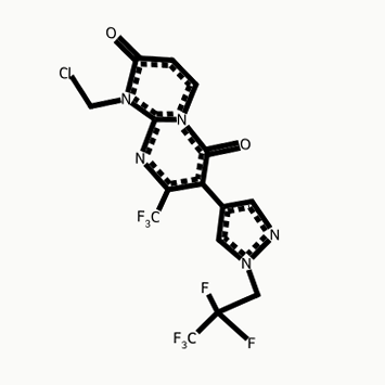 O=c1ccn2c(=O)c(-c3cnn(CC(F)(F)C(F)(F)F)c3)c(C(F)(F)F)nc2n1CCl